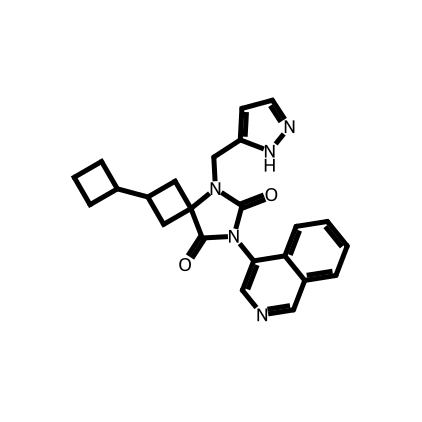 O=C1N(c2cncc3ccccc23)C(=O)C2(CC(C3CCC3)C2)N1Cc1ccn[nH]1